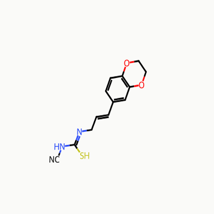 N#CN/C(S)=N/C/C=C/c1ccc2c(c1)OCCO2